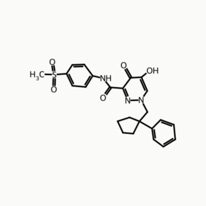 CS(=O)(=O)c1ccc(NC(=O)c2nn(CC3(c4ccccc4)CCCC3)cc(O)c2=O)cc1